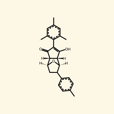 Cc1ccc(C2C[C@@H]3O[C@H]2[C@H]2C(O)=C(c4c(C)cc(C)cc4C)C(=O)[C@H]23)cc1